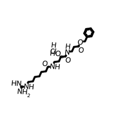 Cl.N=C(N)NCCCCCCC(=O)NCC[C@H](O)C(=O)NCCC(=O)OCc1ccccc1